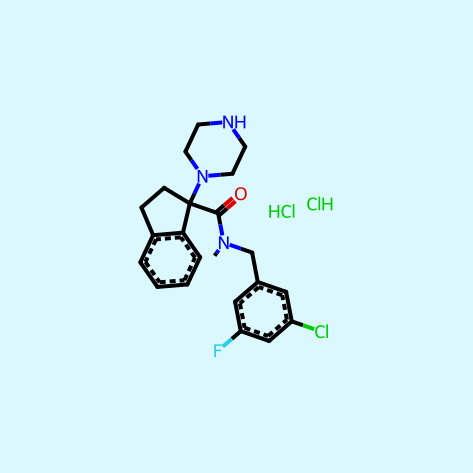 CN(Cc1cc(F)cc(Cl)c1)C(=O)C1(N2CCNCC2)CCc2ccccc21.Cl.Cl